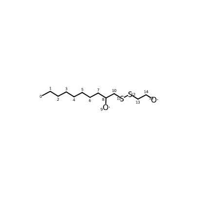 CCCCCCCCC([O])CSSCC[O]